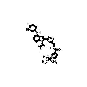 CC(C)(C)n1ccc(C(=O)NCc2nc(-c3cc4c(N[C@H]5CCC(=O)NC5)cccc4n3C(F)C(F)F)no2)c1